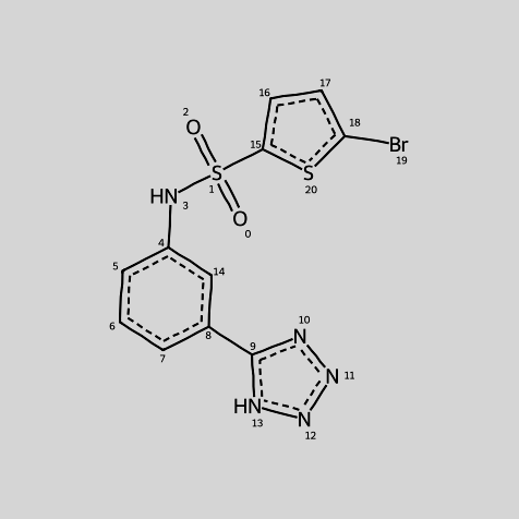 O=S(=O)(Nc1cccc(-c2nnn[nH]2)c1)c1ccc(Br)s1